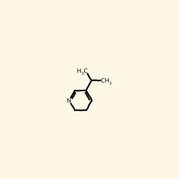 CC(C)C1=CCCN=C1